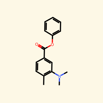 Cc1ccc(C(=O)Oc2ccccc2)cc1N(C)C